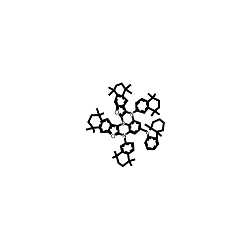 CC1(C)CCC(C)(C)c2cc(N3c4cc(N5c6ccccc6C6(C)CCCCC56C)cc5c4B(c4oc6cc7c(cc6c4N5c4ccc5c(c4)C(C)(C)CCC5(C)C)C(C)(C)CCC7(C)C)c4c3oc3cc5c(cc43)C(C)(C)CCC5(C)C)ccc21